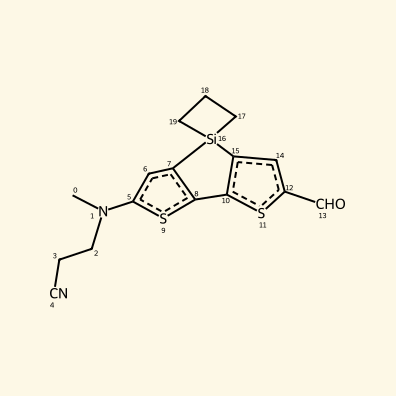 CN(CCC#N)c1cc2c(s1)-c1sc(C=O)cc1[Si]21CCC1